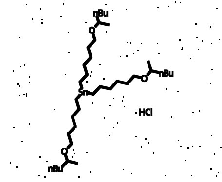 CCCCC(C)OCCCCC[CH2][Sn]([CH2]CCCCCOC(C)CCCC)[CH2]CCCCCOC(C)CCCC.Cl